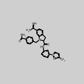 N=C(N)c1ccc2c(c1)N(Cc1ccc(C(N)=O)cc1)C(C(=O)Nc1cccc(-n3ccc(C(F)(F)F)n3)c1)C2